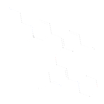 Cc1cc(Oc2cc(C#N)ccc2-c2ccn(CCN)c(=O)c2)cc(N2CCOCC2)n1